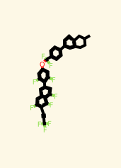 CC1CCc2cc(-c3ccc(C(F)(F)Oc4cc(F)c(-c5cc(F)c6c(F)c(C#CC(F)(F)F)c(F)cc6c5)c(F)c4)cc3)ccc2C1